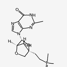 C=P(C)(C)CC[C@@]12CO[C@@H]([C@H](n3cnc4c(=O)[nH]c(C)nc43)O1)[C@@H]2O